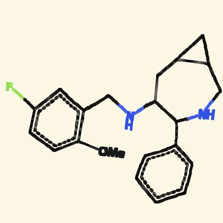 COc1ccc(F)cc1CNC1CC2CC2CNC1c1ccccc1